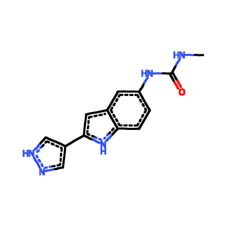 CNC(=O)Nc1ccc2[nH]c(-c3cn[nH]c3)cc2c1